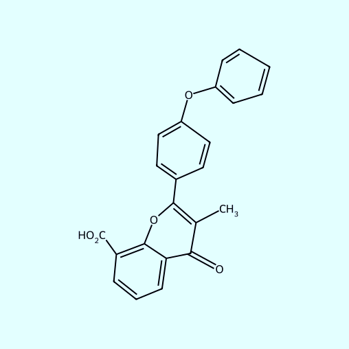 Cc1c(-c2ccc(Oc3ccccc3)cc2)oc2c(C(=O)O)cccc2c1=O